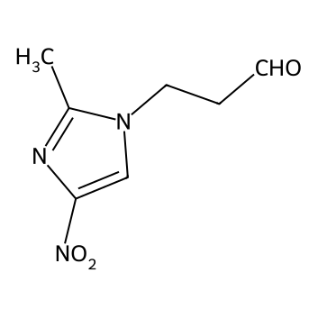 Cc1nc([N+](=O)[O-])cn1CCC=O